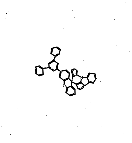 c1ccc(-c2cc(-c3ccccc3)cc(-c3ccc4c(c3)Oc3ccccc3C43c4ccccc4-n4c5ccccc5c5cccc3c54)c2)cc1